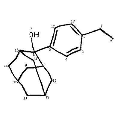 CCc1ccc(C2(O)C3CC4CC(C3)CC2C4)cc1